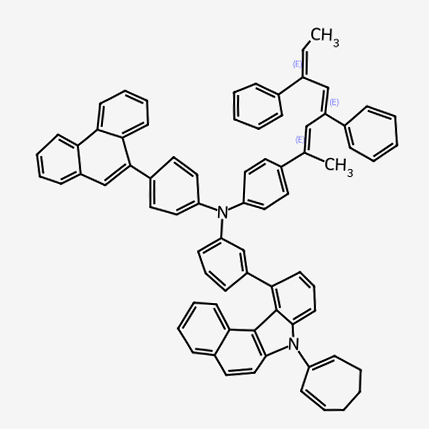 C\C=C(/C=C(\C=C(/C)c1ccc(N(c2ccc(-c3cc4ccccc4c4ccccc34)cc2)c2cccc(-c3cccc4c3c3c5ccccc5ccc3n4C3=CCCCC=C3)c2)cc1)c1ccccc1)c1ccccc1